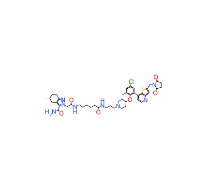 Cc1cc(Cl)cc(-c2ccnc3cc(CN4C(=O)CCC4=O)sc23)c1OC1CCN(CCCNC(=O)CCCCCNC(=O)Cn2nc3c(c2C(N)=O)C[C@H](C)CC3)CC1